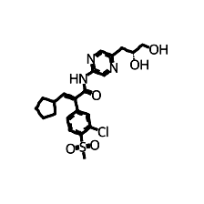 CS(=O)(=O)c1ccc(/C(=C\C2CCCC2)C(=O)Nc2cnc(C[C@@H](O)CO)cn2)cc1Cl